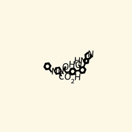 O=C(O)C1CN(Cc2ccccc2)CCN1C(=O)Cc1ccc(-c2cccc(-c3cc4cnccc4[nH]3)c2O)cc1